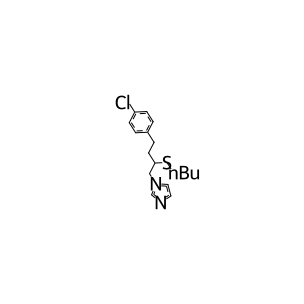 CCCCSC(CCc1ccc(Cl)cc1)Cn1ccnc1